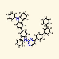 C1=Cc2c(n(-c3nccc(-c4ccc(-c5cccc(-c6ccccc6)c5)cc4)n3)c3ccc(-c4ccc5c(c4)c4ccccc4n5-c4ccccc4)cc23)CC1